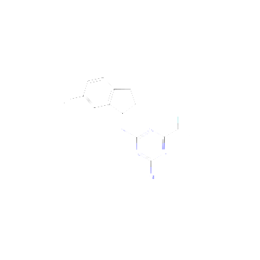 Cc1ccc2c(c1)[C@@H](Nc1nc(N)nc([C@@H](C)F)n1)CC2